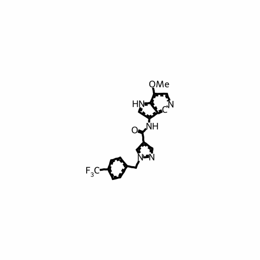 COc1cncc2c(NC(=O)c3cnn(Cc4ccc(C(F)(F)F)cc4)c3)c[nH]c12